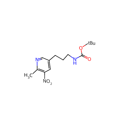 Cc1ncc(CCCNC(=O)OC(C)(C)C)cc1[N+](=O)[O-]